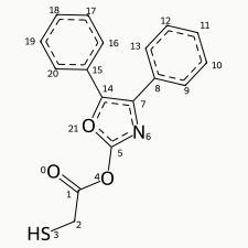 O=C(CS)Oc1nc(-c2ccccc2)c(-c2ccccc2)o1